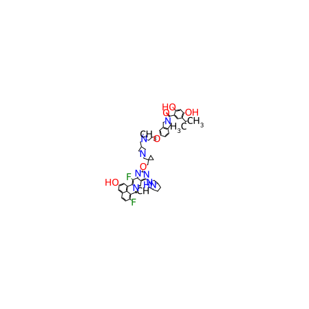 C#Cc1c(F)ccc2cc(O)cc(-c3ncc4c(N5CC6CCC(C5)N6)nc(OCC5(CN6CC(CN(C)CCOc7ccc8c(c7)CN(C(=O)c7cc(C(C)C)c(O)cc7O)C8)C6)CC5)nc4c3F)c12